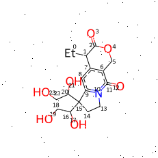 CCC1C(=O)OCc2c1cc1n(c2=O)CCC1(C(O)CO)C(O)CO